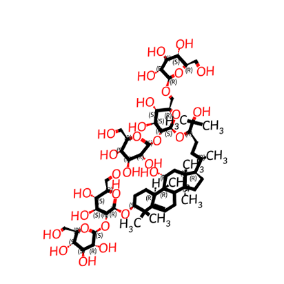 C[C@H](CC[C@@H](O[C@@H]1O[C@H](CO[C@@H]2O[C@H](CO)[C@@H](O)[C@H](O)[C@H]2O)[C@@H](O)[C@H](O)[C@H]1O[C@@H]1O[C@H](CO)[C@@H](O)[C@H](O)[C@H]1O)C(C)(C)O)[C@H]1CC[C@@]2(C)C3CC=C4[C@@H](CC[C@H](O[C@@H]5O[C@H](CO)[C@@H](O)[C@H](O)[C@H]5O[C@@H]5O[C@H](CO)[C@@H](O)[C@H](O)[C@H]5O)C4(C)C)[C@]3(C)[C@H](O)C[C@]12C